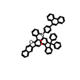 c1ccc(C2(c3ccccc3)c3ccccc3-c3ccc(N(c4ccc(-c5cc6ccccc6c6ccccc56)cc4)c4ccccc4-c4cccc5c4oc4cc6ccccc6cc45)cc32)cc1